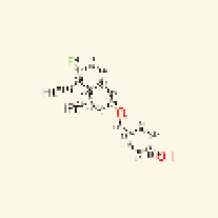 C#Cc1c(F)ccc2cc(OCc3ccc(O)cc3)cc(C(C)C)c12